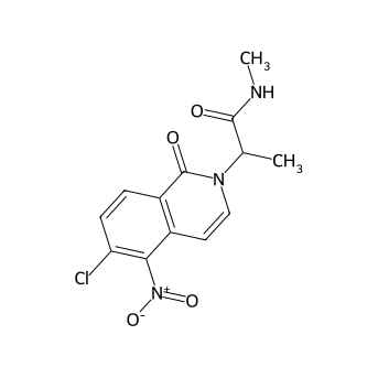 CNC(=O)C(C)n1ccc2c([N+](=O)[O-])c(Cl)ccc2c1=O